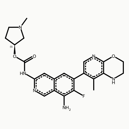 Cc1c(-c2cc3cc(NC(=O)O[C@H]4CCN(C)C4)ncc3c(N)c2F)cnc2c1NCCO2